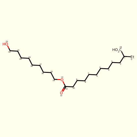 CCC(CCCCCCCCCC(=O)OCCCCCCCCCO)C(=O)O